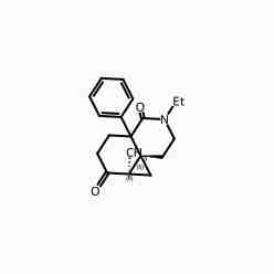 CCN1CC[C@@]23C[C@@]2(C)C(=O)CCC3(c2ccccc2)C1=O